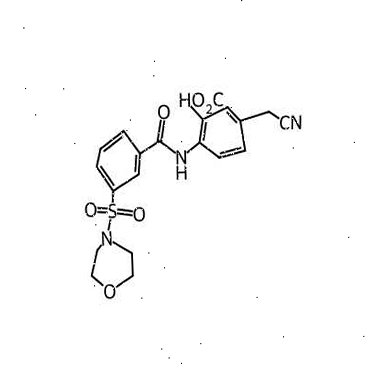 N#CCc1ccc(NC(=O)c2cccc(S(=O)(=O)N3CCOCC3)c2)c(C(=O)O)c1